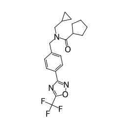 O=C(C1CCCC1)N(Cc1ccc(-c2noc(C(F)(F)F)n2)cc1)CC1CC1